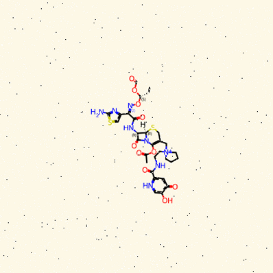 CC[C@@H](OC=O)O/N=C(\C(=O)N[C@@H]1C(=O)N2C(OC(C)=O)=C(C[N+]3(CCNC(=O)c4cc(=O)c(O)c[nH]4)CCCC3)CS[C@H]12)c1csc(N)n1